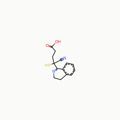 N#CC(S)(CCC(=O)O)C1=NCCc2ccccc21